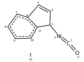 O=[C]=[Ni][CH]1C=Cc2ccccc21.[I]